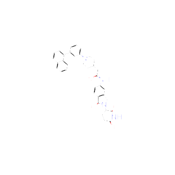 O=C1CCC(N2Cc3cc(NC(=O)CC4CCN(c5cccc(-c6cccc7ccccc67)c5)CC4)ccc3C2=O)C(=O)N1